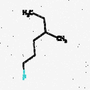 CCC(C)CCCF